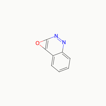 c1ccc2c3c(nnc2c1)O3